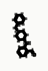 O=Cc1ccccc1NC1CCN(Cc2ccccc2)CC1